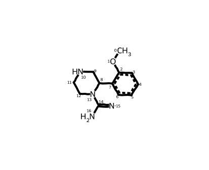 COc1ccccc1C1CNCCN1C(=[N])N